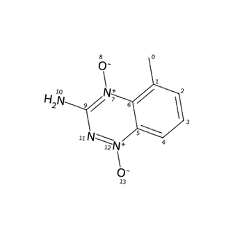 Cc1cccc2c1[n+]([O-])c(N)n[n+]2[O-]